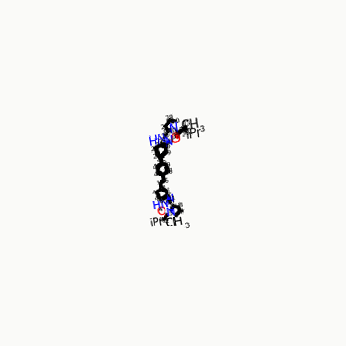 CC(C)[C@H](C)C(=O)N1CCC[C@H]1c1nc2cc(CCc3ccc(-c4ccc5[nH]c([C@@H]6CCCN6C(=O)[C@@H](C)C(C)C)nc5c4)cc3)ccc2[nH]1